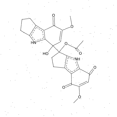 COC1=CC(=O)c2[nH]c3c(c2C1=O)CCC3(OC(C)=O)C1(O)C=C(OC)C(=O)c2c1[nH]c1c2CCC1